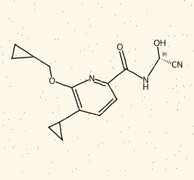 N#C[C@@H](O)NC(=O)c1ccc(C2CC2)c(OCC2CC2)n1